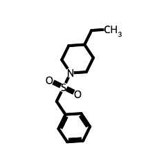 CCC1CCN(S(=O)(=O)Cc2ccccc2)CC1